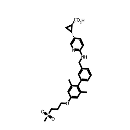 Cc1cc(OCCCS(C)(=O)=O)cc(C)c1-c1cccc(CNc2ccc([C@@H]3C[C@H]3C(=O)O)cn2)c1